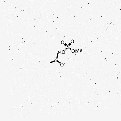 COS(=O)(=O)O.C[S+](C)[O-]